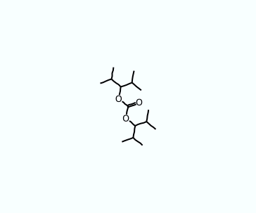 CC(C)C(OC(=O)OC(C(C)C)C(C)C)C(C)C